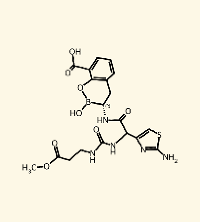 COC(=O)CCNC(=O)NC(C(=O)N[C@H]1Cc2cccc(C(=O)O)c2OB1O)c1csc(N)n1